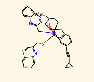 COC1CCC2(CC1)Cc1ccc(C#CC3CC3)cc1C21N=C(SCc2cnc3ccccc3n2)N(Cc2cnc3ccccc3n2)C1=O